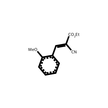 CCOC(=O)C(C#N)=Cc1ccccc1OC